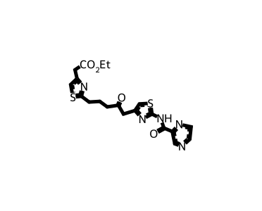 CCOC(=O)Cc1csc(CCCC(=O)Cc2csc(NC(=O)c3cnccn3)n2)n1